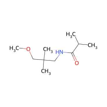 COCC(C)(C)CNC(=O)C(C)C